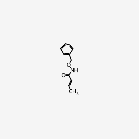 CC=CC(=O)NOCc1ccccc1